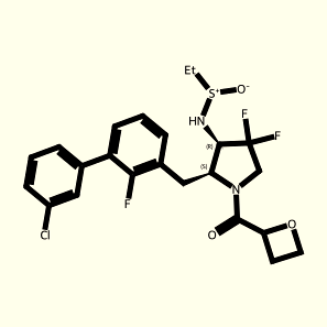 CC[S+]([O-])N[C@@H]1[C@H](Cc2cccc(-c3cccc(Cl)c3)c2F)N(C(=O)C2CCO2)CC1(F)F